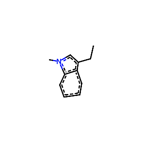 CCc1cn(C)c2ccccc12